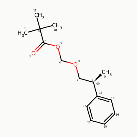 C[C@H](COCOC(=O)C(C)(C)C)c1ccccc1